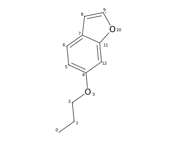 CCCOc1ccc2c[c]oc2c1